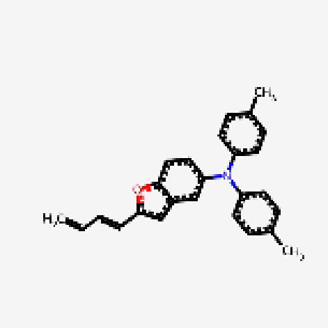 C=CC=Cc1cc2cc(N(c3ccc(C)cc3)c3ccc(C)cc3)ccc2o1